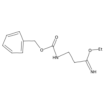 CCOC(=N)CCNC(=O)OCc1ccccc1